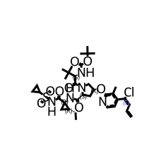 C=C/C=C(/Cl)c1ccnc(O[C@@H]2C[C@@H](C(=O)N[C@]3(C(=O)NS(=O)(=O)C4CC4)C[C@H]3CC)N(C(=O)[C@@H](NC(=O)OC(C)(C)C)C(C)(C)C)C2)c1C